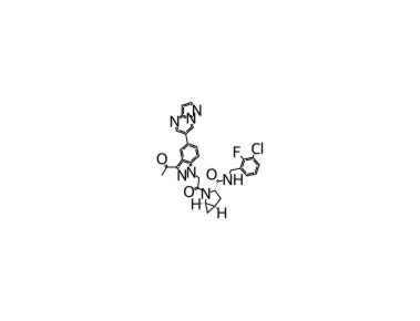 CC(=O)c1nn(CC(=O)N2[C@@H]3C[C@@H]3C[C@H]2C(=O)NCc2cccc(Cl)c2F)c2ccc(-c3cnc4ccnn4c3)cc12